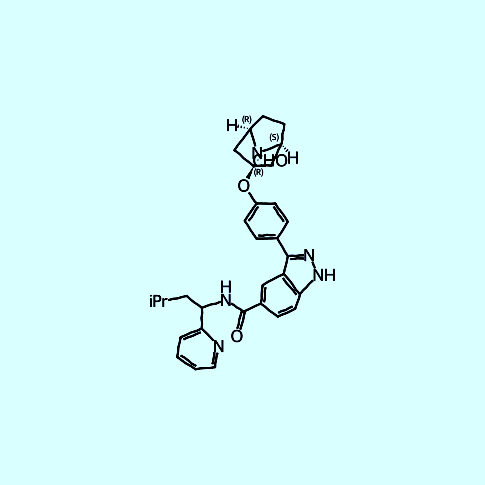 CC(C)CC(NC(=O)c1ccc2[nH]nc(-c3ccc(O[C@H]4C[C@H]5CC[C@@H](C4)N5C=O)cc3)c2c1)c1ccccn1